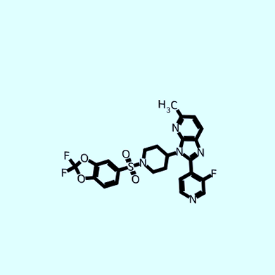 Cc1ccc2nc(-c3ccncc3F)n(C3CCN(S(=O)(=O)c4ccc5c(c4)OC(F)(F)O5)CC3)c2n1